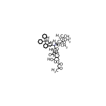 CC(=O)CC(=O)OCC1=C(C(=O)O)N2C(=O)[C@@H](NC(=O)/C(=N\OC(C)(C)C(=O)OC(C)(C)C)c3csc(NC(c4ccccc4)(c4ccccc4)c4ccccc4)n3)[C@H]2SC1